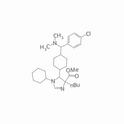 CCCCC1(C(=O)OC)N=CN(C2CCCCC2)C1C1CCC(C(c2ccc(Cl)cc2)N(C)C)CC1